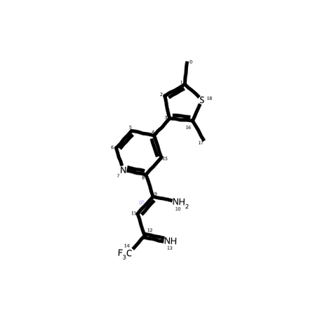 Cc1cc(-c2ccnc(/C(N)=C/C(=N)C(F)(F)F)c2)c(C)s1